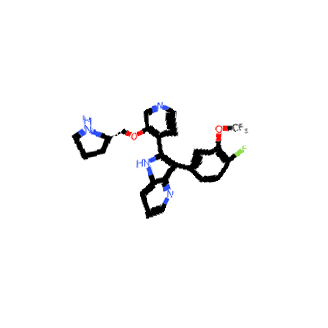 Fc1ccc(-c2c(-c3ccncc3OC[C@@H]3CCCN3)[nH]c3cccnc23)cc1OC(F)(F)F